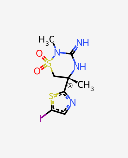 CN1C(=N)N[C@](C)(c2ncc(I)s2)CS1(=O)=O